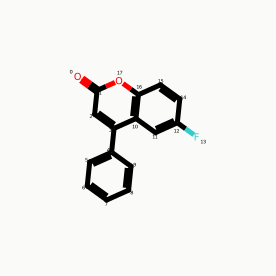 O=c1cc(-c2ccccc2)c2cc(F)ccc2o1